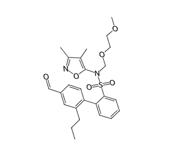 CCCc1cc(C=O)ccc1-c1ccccc1S(=O)(=O)N(COCCOC)c1onc(C)c1C